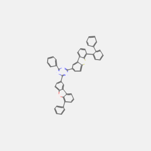 c1ccc(-c2nc(-c3ccc4oc5c(-c6ccccc6)cccc5c4c3)nc(-c3ccc4sc5c(-c6ccccc6-c6ccccc6)cccc5c4c3)n2)cc1